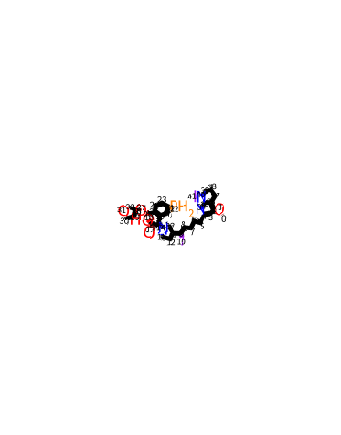 COc1cc(CCCCC(I)C2CCN(C(C(=O)O)c3cc(P)ccc3CO[C@H]3CCOC3)C2)nc2c1CCCN2I